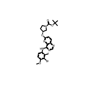 COc1ccc(Nc2ncnc3ccc(O[C@H]4CCN(C(=O)OC(C)(C)C)C4)nc23)c(F)c1Br